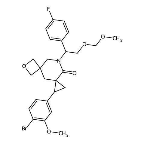 COCOCC(c1ccc(F)cc1)N1CC2(COC2)CC2(CC2c2ccc(Br)c(OC)c2)C1=O